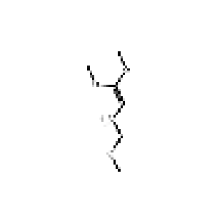 COC[SiH2]C=C(OC)OC